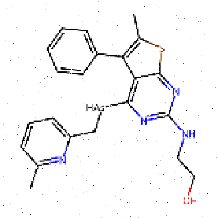 Cc1cccc(C[AsH]c2nc(NCCO)nc3sc(C)c(-c4ccccc4)c23)n1